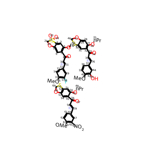 CCCOc1cc2c(cc1C(=O)/C=C/c1ccc(OC)c(F)c1)OCS2(=O)=O.CCCOc1cc2c(cc1C(=O)/C=C/c1ccc(OC)c(O)c1)SCO2.CCCOc1cc2c(cc1C(=O)/C=C/c1ccc(OC)c([N+](=O)[O-])c1)OCS2